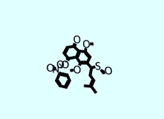 COc1cc(C(CC=C(C)C)SC=O)c(OC)c2c1C(=O)C=CC2=O.O=[N+]([O-])c1ccccc1